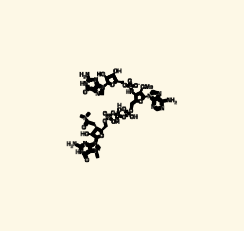 CO[C@@H]1[C@H](NP(=O)([O-])OC[C@H]2O[C@@H](n3cnc4c(=O)[nH]c(N)nc43)[C@H](O)[C@@H]2O)C(COP(=O)(O)OP(=O)(O)OP(=O)(O)OC[C@H]2OC(n3c[n+](C)c4c(=O)[nH]c(N)nc43)[C@H](O)[C@@H]2CC(=O)N(C)C)O[C@H]1n1cnc2c(N)ncnc21